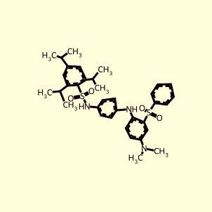 CC(C)c1cc(C(C)C)c(S(=O)(=O)Nc2ccc(Nc3ccc(N(C)C)cc3S(=O)(=O)c3ccccc3)cc2)c(C(C)C)c1